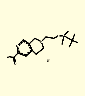 CC(C)(C)[Si](C)(C)OCCN1CCc2cc(C(=O)[O-])ncc2C1.[Li+]